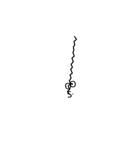 CCCCCCCCCCCCCCCCCC(=O)OCC[S]